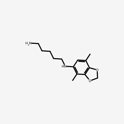 Cc1cc(NCCCCCN)c(C)c2c1OCO2